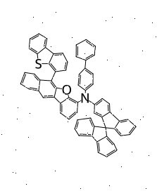 c1ccc(-c2ccc(N(c3ccc4c(c3)C3(c5ccccc5-c5ccccc53)c3ccccc3-4)c3cccc4c3oc3c(-c5cccc6c5sc5ccccc56)c5ccccc5cc34)cc2)cc1